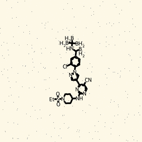 BC(NC(B)(B)B)c1ccc(-n2cc(-c3nc(NC4CCN(S(=O)(=O)CC)CC4)ncc3C#N)cn2)c(Cl)c1